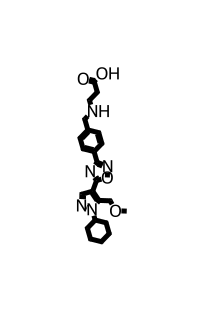 COCc1c(-c2nc(-c3ccc(CNCCC(=O)O)cc3)no2)cnn1C1CCCCC1